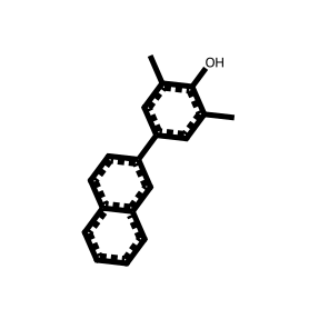 Cc1cc(-c2ccc3ccccc3c2)cc(C)c1O